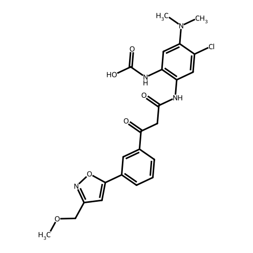 COCc1cc(-c2cccc(C(=O)CC(=O)Nc3cc(Cl)c(N(C)C)cc3NC(=O)O)c2)on1